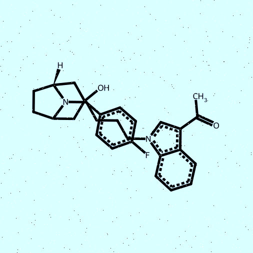 CC(=O)c1cn(CCCCN2C3CC[C@@H]2CC(O)(c2ccc(F)cc2)C3)c2ccccc12